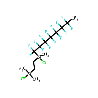 C[Si](C)(Cl)CC[Si](C)(Cl)C(F)(F)C(F)(F)C(F)(F)C(F)(F)C(F)(F)C(F)(F)C(F)(F)C(F)(F)F